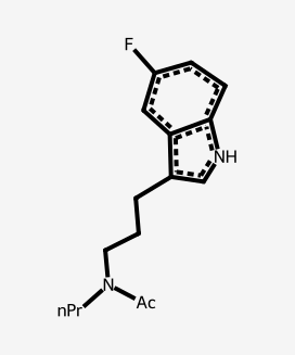 CCCN(CCCc1c[nH]c2ccc(F)cc12)C(C)=O